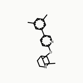 Cc1cc(C)cc(-c2ccc(OC3C4CCN(CC4)C3C)nc2)c1